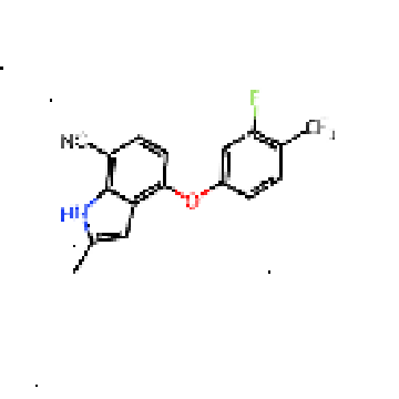 Cc1cc2c(Oc3ccc(C(F)(F)F)c(F)c3)ccc(C#N)c2[nH]1